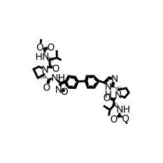 COC(=O)N[C@@H](C(=O)N1CCC[C@H]1C(=O)Nc1noc2cc(-c3ccc(-c4cnc([C@@H]5CCCN5C(=O)[C@H](NC(=O)OC)C(C)C)[nH]4)cc3)ccc12)C(C)C